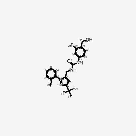 O=C(NCc1cc(C(F)(F)F)nn1-c1ccccc1F)Nc1ccc(CO)c(F)c1